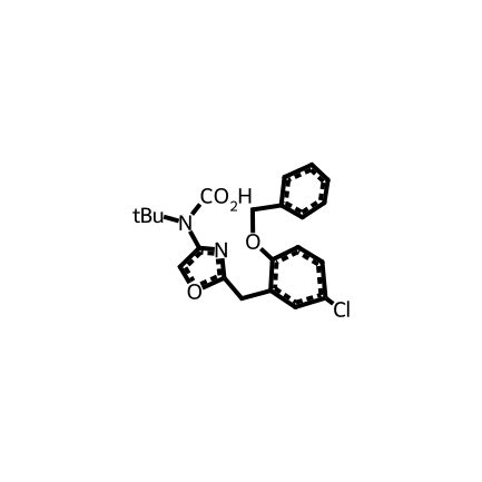 CC(C)(C)N(C(=O)O)c1coc(Cc2cc(Cl)ccc2OCc2ccccc2)n1